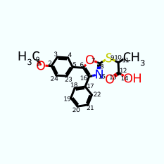 COc1ccc(-c2oc(SC(C)C(=O)O)nc2-c2ccccc2)cc1